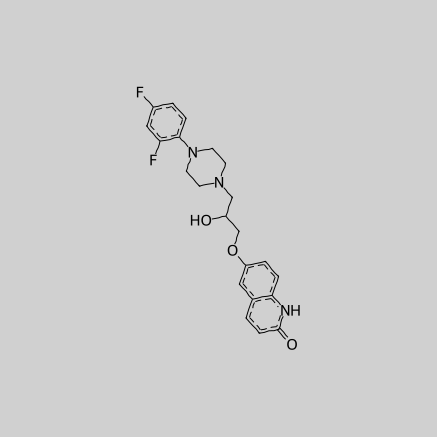 O=c1ccc2cc(OCC(O)CN3CCN(c4ccc(F)cc4F)CC3)ccc2[nH]1